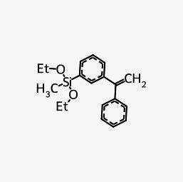 C=C(c1ccccc1)c1cccc([Si](C)(OCC)OCC)c1